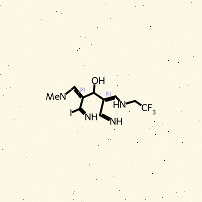 CN/C=C(\C(=N)I)C(O)/C(C=N)=C/NCC(F)(F)F